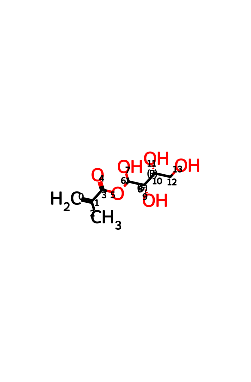 C=C(C)C(=O)OC(O)[C@@H](O)[C@H](O)CO